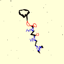 CN(C)CCNC(=O)CCNC(=O)OCc1ccccc1